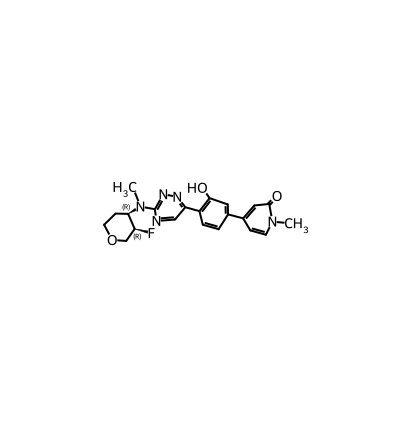 CN(c1ncc(-c2ccc(-c3ccn(C)c(=O)c3)cc2O)nn1)[C@@H]1CCOC[C@@H]1F